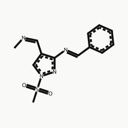 C/N=C\c1cn(S(C)(=O)=O)nc1/N=C/c1ccccc1